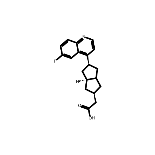 O=C(O)C[C@@H]1CC2C[C@H](c3ccnc4ccc(F)cc34)C[C@@H]2C1